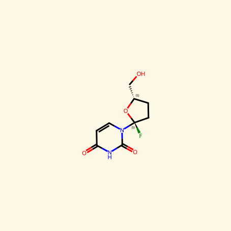 O=c1ccn([C@@]2(F)CC[C@@H](CO)O2)c(=O)[nH]1